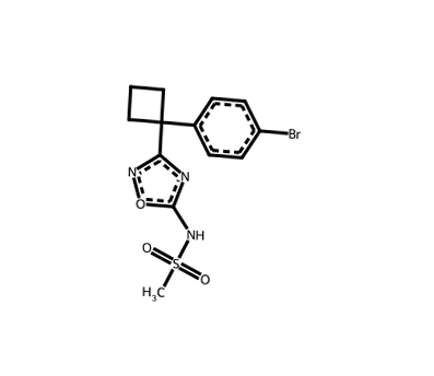 CS(=O)(=O)Nc1nc(C2(c3ccc(Br)cc3)CCC2)no1